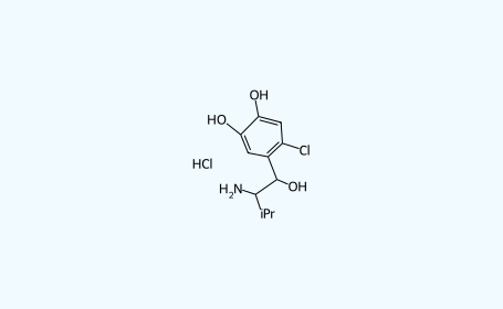 CC(C)C(N)C(O)c1cc(O)c(O)cc1Cl.Cl